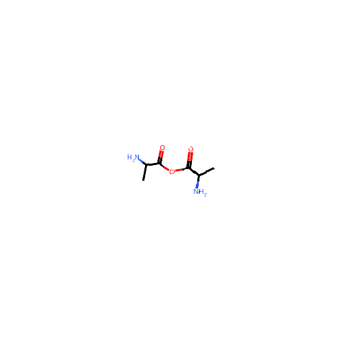 CC(N)C(=O)OC(=O)C(C)N